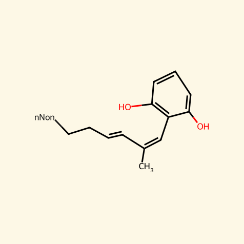 CCCCCCCCCCCC=CC(C)=Cc1c(O)cccc1O